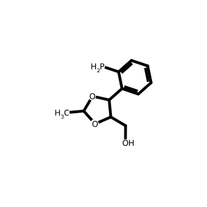 CC1OC(CO)C(c2ccccc2P)O1